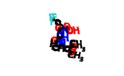 COc1ccc(C2=NN(C3CCN(C(=O)[C@@H](Cc4ccc(C(F)(F)F)cc4)NC(=O)O)CC3)C(=O)[C@@H]3CCCC[C@H]23)cc1OC